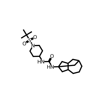 CC(C)(C)S(=O)(=O)N1CCC(NC(=O)NC23CC4CCCC(C2)C(C4)C3)CC1